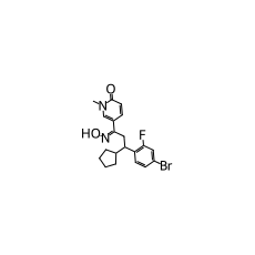 Cn1cc(C(CC(c2ccc(Br)cc2F)C2CCCC2)=NO)ccc1=O